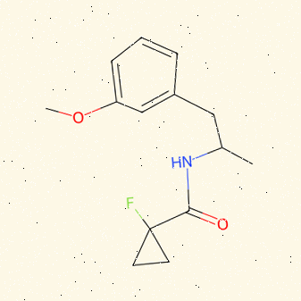 COc1cccc(CC(C)NC(=O)C2(F)CC2)c1